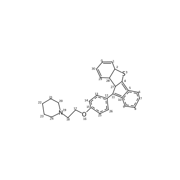 C1=CC2SC3=c4ccccc4=C(c4ccc(OCCN5CCCCC5)cc4)C3C2C=C1